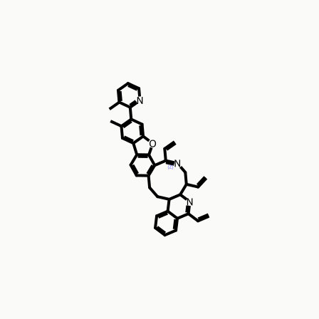 C=CC1=NC2C(C=C)C/N=C(/C=C)c3c(ccc4c3oc3cc(-c5ncccc5C)c(C)cc34)CCC2c2ccccc21